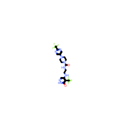 O=C(NCCNc1cn[nH]c(=O)c1C(F)(F)F)N1CCN(c2cnc(C(F)(F)F)nc2)CC1